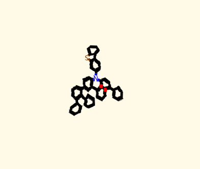 c1ccc(-c2ccc(N(c3ccc4c(c3)sc3ccccc34)c3ccc(-c4cccc(-c5ccccc5)c4-c4ccccc4)cc3-c3ccccc3)cc2)cc1